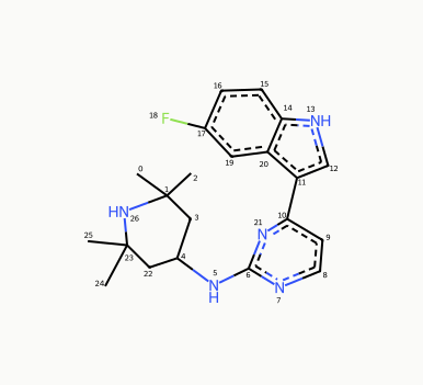 CC1(C)CC(Nc2nccc(-c3c[nH]c4ccc(F)cc34)n2)CC(C)(C)N1